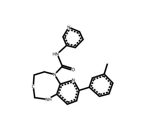 Cc1cccc(-c2ccc3c(n2)N(C(=O)Nc2cccnc2)CCCCN3)c1